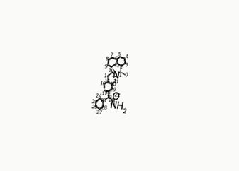 CC(c1cccc2ccccc12)N1CCc2ccc(C(C(N)=O)c3ccccc3)cc2C1